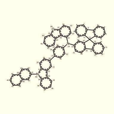 c1ccc2c(c1)-c1ccccc1C21c2ccccc2-c2ccc(N(c3ccc(-c4ccc5c(c4)c4ccccc4n5-c4ccc5ccccc5c4)cc3)c3cccc4oc5ccccc5c34)cc21